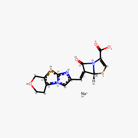 O=C([O-])C1=CS[C@@H]2/C(=C/c3cn4c5c(sc4n3)COCC5)C(=O)N12.[Na+]